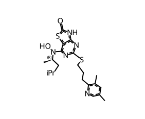 Cc1cnc(CCCSc2nc(N(O)[C@H](C)CC(C)C)c3sc(=O)[nH]c3n2)c(C)c1